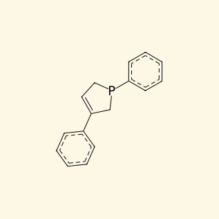 C1=C(c2ccccc2)CP(c2ccccc2)C1